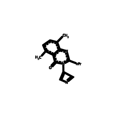 CCCc1nc2c(C)ccc(C)c2c(=O)n1C1=CN=C1